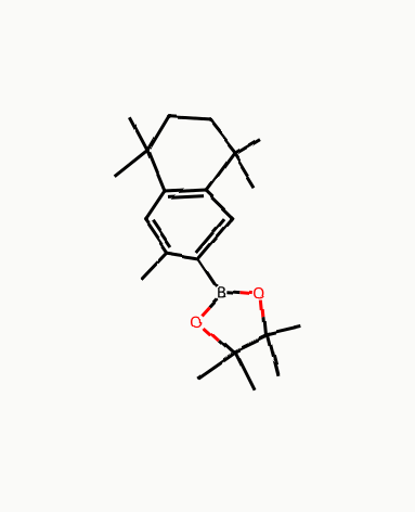 Cc1cc2c(cc1B1OC(C)(C)C(C)(C)O1)C(C)(C)CCC2(C)C